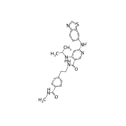 CNC(=O)c1ccc(CCNC(=O)c2cnc(Nc3ccc4ncsc4c3)cc2NC(C)C)cc1